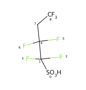 O=S(=O)(O)C(F)(F)C(F)(F)CC(F)(F)F